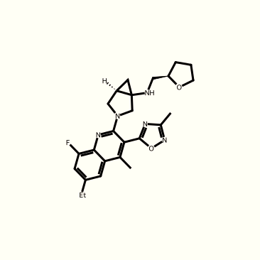 CCc1cc(F)c2nc(N3C[C@H]4CC4(NC[C@H]4CCCO4)C3)c(-c3nc(C)no3)c(C)c2c1